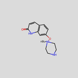 CCCC[N+]1(Oc2ccc3ccc(=O)[nH]c3c2)CCNCC1